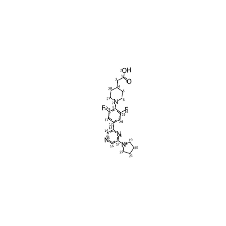 O=C(O)CC1CCN(c2c(F)cc(-c3cncc(N4CCCC4)n3)cc2F)CC1